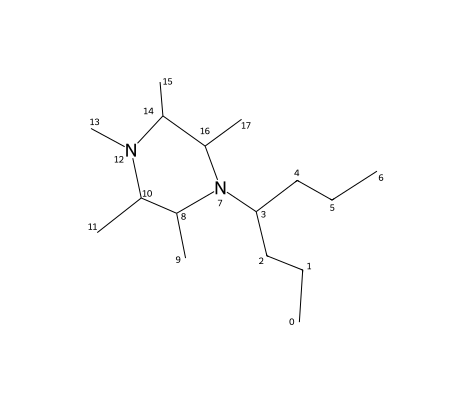 CCCC(CCC)N1C(C)C(C)N(C)C(C)C1C